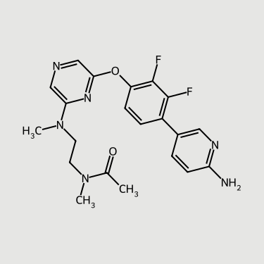 CC(=O)N(C)CCN(C)c1cncc(Oc2ccc(-c3ccc(N)nc3)c(F)c2F)n1